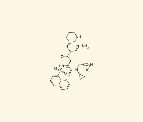 Cl.NN=CN(C[C@H]1CCCNC1)C(=O)C[C@H](NS(=O)(=O)c1cccc2ccccc12)C(=O)N(CC(=O)O)C1CC1